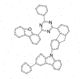 c1ccc(-c2ccc3c(c2)c2ccccc2n3-c2ccc3c(c2)Cc2cccc(-c4nc(-c5ccccc5)nc(-c5cccc6c5oc5ccccc56)n4)c2-3)cc1